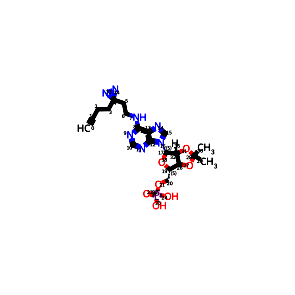 C#CCCC1(CCNc2ncnc3c2ncn3[C@H]2O[C@@H](COP(=O)(O)O)C3OC(C)(C)O[C@H]32)N=N1